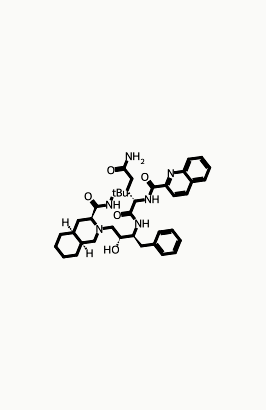 CC(C)(C)NC(=O)[C@@H]1C[C@@H]2CCCC[C@@H]2CN1C[C@@H](O)[C@H](Cc1ccccc1)NC(=O)[C@H](CCC(N)=O)NC(=O)c1ccc2ccccc2n1